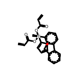 C=CC(=O)[O][Ti](=[CH2])([O]C(=O)C=C)([C]1=CC=CC1)[c]1cccc2c1Cc1ccccc1-2